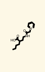 CCCCC(CCNC(=O)C[n+]1ccccc1)C(=O)O